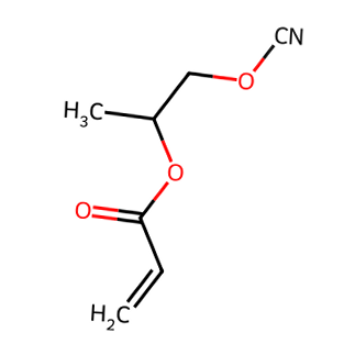 C=CC(=O)OC(C)COC#N